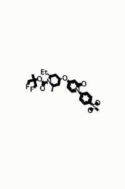 CC[C@@H]1C[C@H](Oc2ccn(-c3ccc(S(C)(=O)=O)cc3)c(=O)c2)C[C@@H](C)N1C(=O)OC(C)(CF)CF